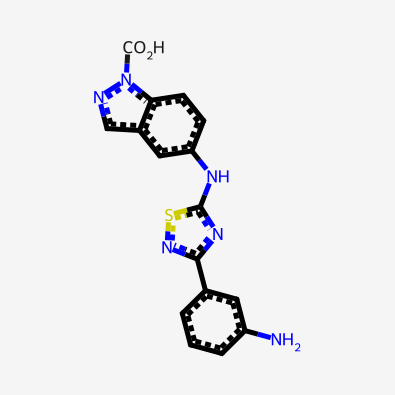 Nc1cccc(-c2nsc(Nc3ccc4c(cnn4C(=O)O)c3)n2)c1